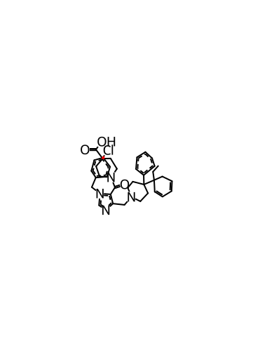 CCC1(C2(c3ccccc3)CCN(Cc3ncn(Cc4ccc(Cl)cc4)c3C(=O)N3CCC(C(=O)O)CC3)CC2)C=CC=CC1